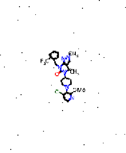 COc1nccc(Cl)c1N1CCC(N2C(=O)N(Cc3ccccc3C(F)(F)F)c3nn(C)cc3[C@H]2C)CC1